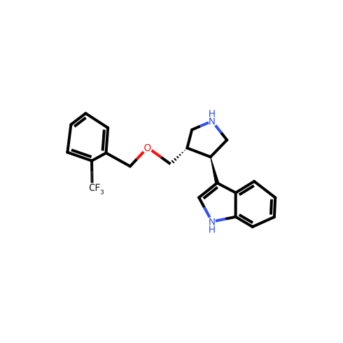 FC(F)(F)c1ccccc1COC[C@@H]1CNC[C@H]1c1c[nH]c2ccccc12